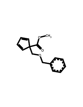 COC(=O)C1(COCc2ccccc2)C=CC=C1